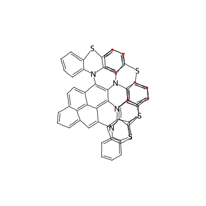 c1ccc2c(c1)Sc1ccccc1N2c1c(N2c3ccccc3Sc3ccccc32)c2ccc3cccc4cc(N5c6ccccc6Sc6ccccc65)c(c1N1c5ccccc5Sc5ccccc51)c2c34